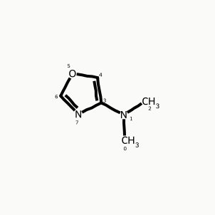 CN(C)c1cocn1